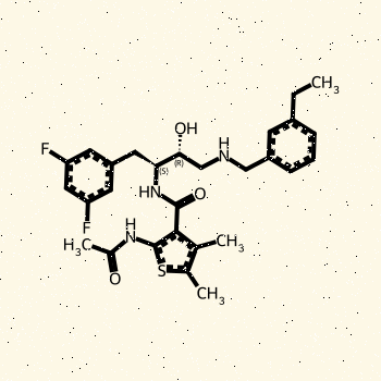 CCc1cccc(CNC[C@@H](O)[C@H](Cc2cc(F)cc(F)c2)NC(=O)c2c(NC(C)=O)sc(C)c2C)c1